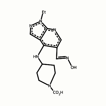 CCn1ncc2c(NC3CCN(C(=O)O)CC3)c(/C=N/O)cnc21